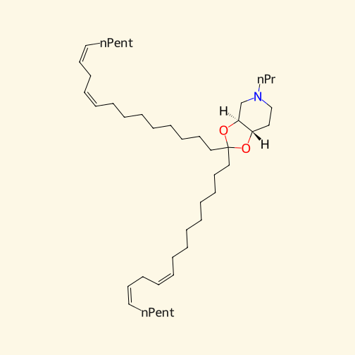 CCCCC/C=C\C/C=C\CCCCCCCCC1(CCCCCCCC/C=C\C/C=C\CCCCC)O[C@H]2CCN(CCC)C[C@@H]2O1